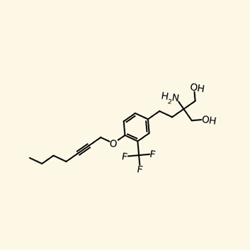 CCCCC#CCOc1ccc(CCC(N)(CO)CO)cc1C(F)(F)F